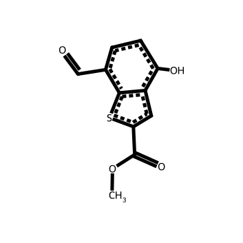 COC(=O)c1cc2c(O)ccc(C=O)c2s1